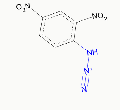 N#[N+]Nc1ccc([N+](=O)[O-])cc1[N+](=O)[O-]